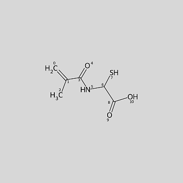 C=C(C)C(=O)NC(S)C(=O)O